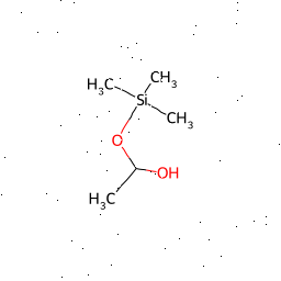 CC(O)O[Si](C)(C)C